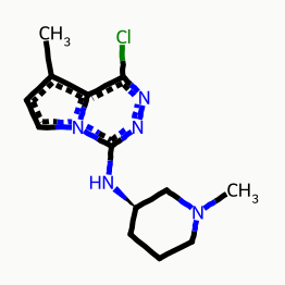 Cc1ccn2c(N[C@@H]3CCCN(C)C3)nnc(Cl)c12